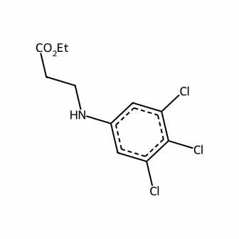 CCOC(=O)CCNc1cc(Cl)c(Cl)c(Cl)c1